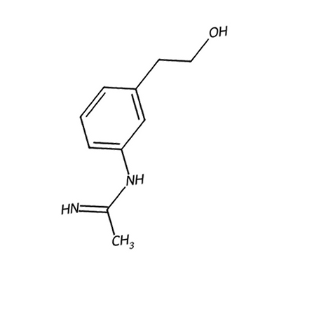 CC(=N)Nc1cccc(CCO)c1